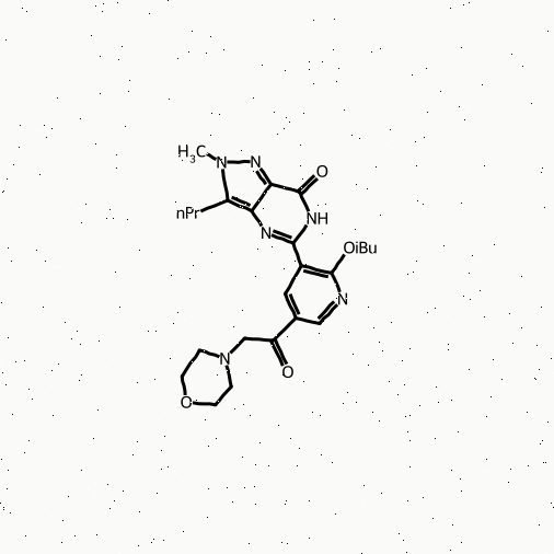 CCCc1c2nc(-c3cc(C(=O)CN4CCOCC4)cnc3OCC(C)C)[nH]c(=O)c2nn1C